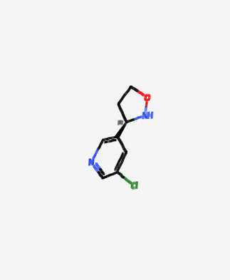 Clc1cncc([C@H]2CCON2)c1